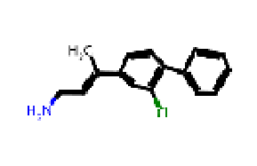 CC(=CCN)c1ccc(-c2ccccc2)c(Cl)c1